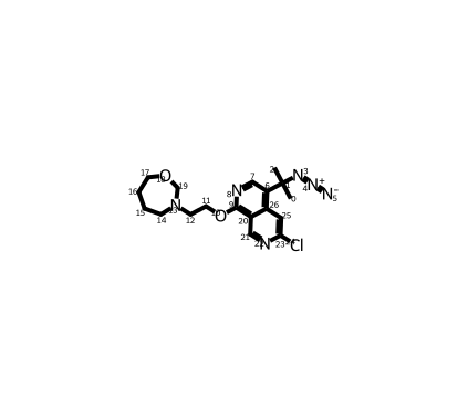 CC(C)(N=[N+]=[N-])c1cnc(OCCN2CCCCOC2)c2cnc(Cl)cc12